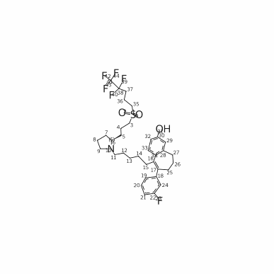 O=S(=O)(CCC[C@@H]1CCCN1CCCCCC1=C(c2cccc(F)c2)CCCc2cc(O)ccc21)CCCC(F)(F)C(F)(F)F